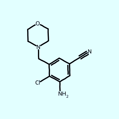 N#Cc1cc(N)c(Cl)c(CN2CCOCC2)c1